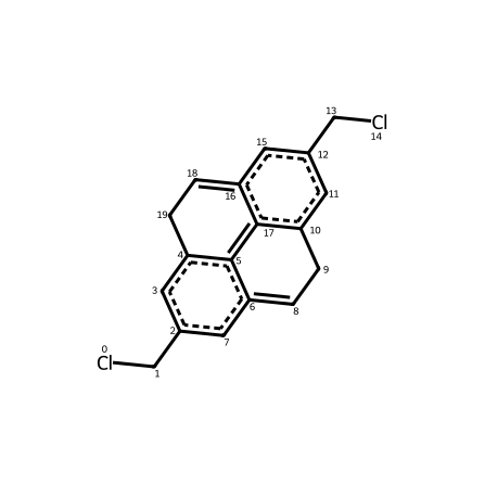 ClCc1cc2c3c(c1)=CCc1cc(CCl)cc(c1=3)=CC2